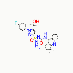 CC(C)(O)c1cc(S(N)(=O)=NC(=O)Nc2c3c(nc4c2CCC4(C)C)CCC3)nn1-c1ccc(F)cc1